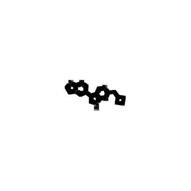 c1cn2cc(-c3c[nH]c4nc(CC5CCC5)ncc34)cnc2n1